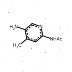 CC(=O)Nc1cc(C)c(N)cn1